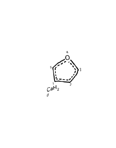 [CaH2].c1ccoc1